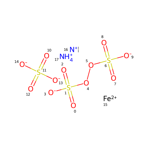 O=S(=O)([O-])OOS(=O)(=O)[O-].O=S(=O)([O-])[O-].[Fe+2].[N+].[NH4+]